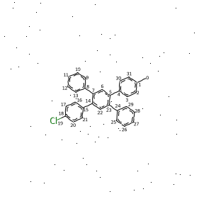 Cc1ccc(-c2cc(-c3ccccc3)c(-c3ccc(Cl)cc3)cc2-c2ccccc2)cc1